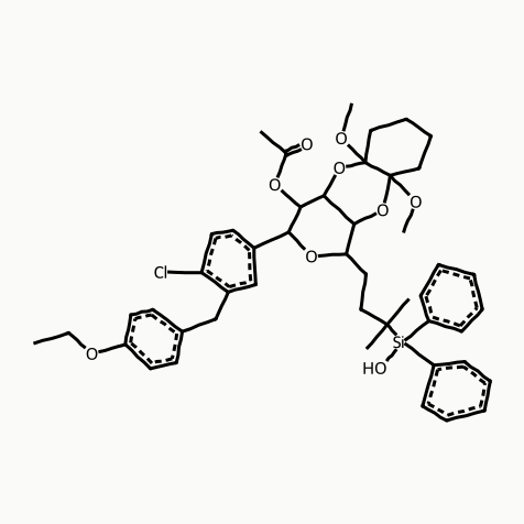 CCOc1ccc(Cc2cc(C3OC(CCC(C)(C)[Si](O)(c4ccccc4)c4ccccc4)C4OC5(OC)CCCCC5(OC)OC4C3OC(C)=O)ccc2Cl)cc1